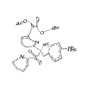 CC(=O)ON(C(=O)OC(C)(C)C)c1cccc(C(N)(Cc2ccc(C(C)(C)C)cc2)S(=O)(=O)c2ccccn2)n1